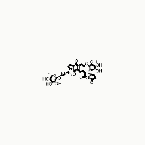 C[C@@H]1O[C@@H](OCCNC(=O)[C@H]2CC[C@H](C(=O)NCCO[C@@H]3OC[C@@H](O)[C@@H](O)[C@@H]3O)N2C(=O)CCCCC(=O)ON2C(=O)CCC2=O)[C@@H](O)[C@H](O)[C@@H]1O